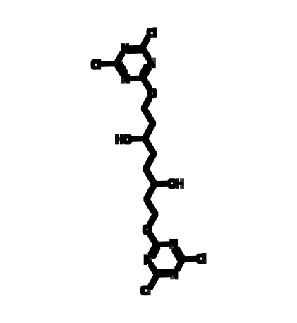 OC(CCOc1nc(Cl)nc(Cl)n1)CCC(O)CCOc1nc(Cl)nc(Cl)n1